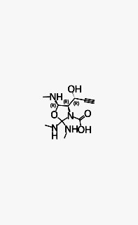 C#C[C@@H](O)[C@@H]1[C@H](NC)OC(NC)(NC)N1C(=O)O